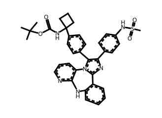 CC(C)(C)OC(=O)NC1(c2ccc(-c3c(-c4ccc(NS(C)(=O)=O)cc4)nc4n3-c3cccnc3Nc3ccccc3-4)cc2)CCC1